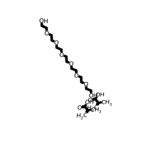 C=C(C)C(=O)O.C=C(C)C(=O)O.OCCOCCOCCOCCOCCOCCOCCO